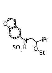 CCOC(CN(c1ccc2occc2c1)S(=O)(=O)O)C(C)C